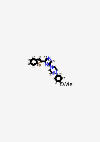 COc1ccc(N2CCN(c3cncc(-c4cc5ccccc5s4)n3)CC2)cc1